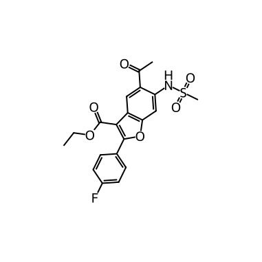 CCOC(=O)c1c(-c2ccc(F)cc2)oc2cc(NS(C)(=O)=O)c(C(C)=O)cc12